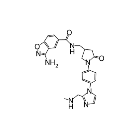 CNCc1nccn1-c1ccc(N2CC(CNC(=O)c3ccc4onc(N)c4c3)CC2=O)cc1